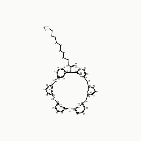 CCCCCCCCCCCC(=O)C1c2cccc(c2)Cc2cccc(c2)Cc2cccc(c2)Cc2cccc(c2)Cc2cccc(c2)Cc2cccc1c2